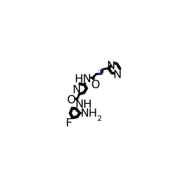 Nc1cc(F)ccc1NC(=O)c1ccc(NC(=O)C/C=C/c2cnccn2)cn1